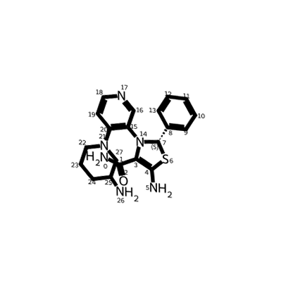 NC(=O)C1=C(N)S[C@@H](c2ccccc2)N1c1cnccc1N1CCCC(N)C1